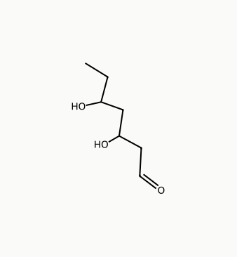 CCC(O)CC(O)CC=O